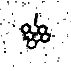 Nc1ccccc1NC1CCCCN1c1ccnc2ccc(C=C=O)cc12